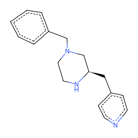 c1ccc(CN2CCN[C@H](Cc3ccncc3)C2)cc1